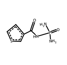 NP(N)(=O)NC(=O)c1ccsc1